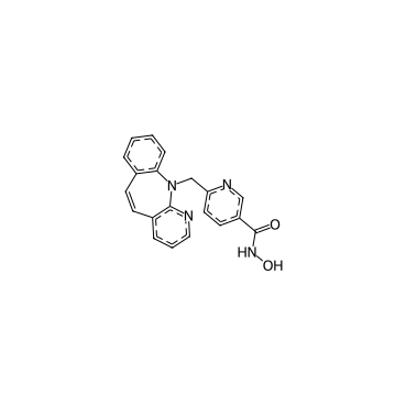 O=C(NO)c1ccc(CN2c3ccccc3C=Cc3cccnc32)nc1